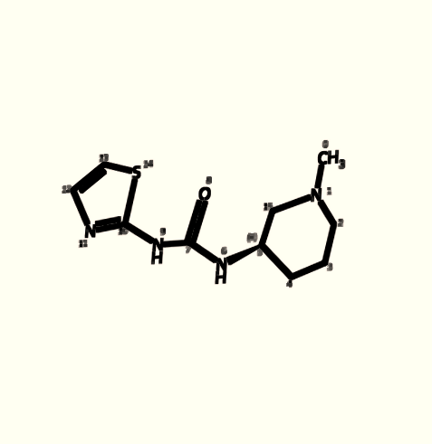 CN1CCC[C@@H](NC(=O)Nc2nccs2)C1